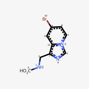 O=C(O)NCc1ncn2ccc(Br)cc12